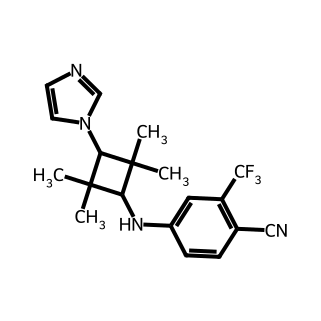 CC1(C)C(Nc2ccc(C#N)c(C(F)(F)F)c2)C(C)(C)C1n1ccnc1